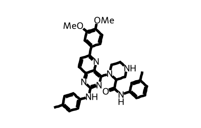 COc1ccc(-c2ccc3nc(Nc4ccc(C)cc4)nc(N4CCNCC4C(=O)Nc4cccc(C)c4)c3n2)cc1OC